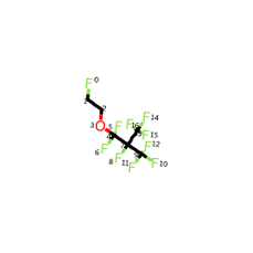 FCCOC(F)(F)C(F)(C(F)(F)F)C(F)(F)F